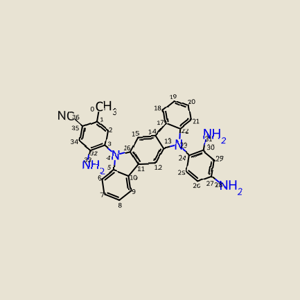 Cc1cc(-n2c3ccccc3c3cc4c(cc32)c2ccccc2n4-c2ccc(N)cc2N)c(N)cc1C#N